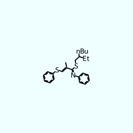 CCCCC(CC)CSC(=Nc1ccccc1)C(C)=CSc1ccccc1